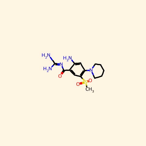 CS(=O)(=O)c1cc(C(=O)N=C(N)N)c(N)cc1N1CCCCC1